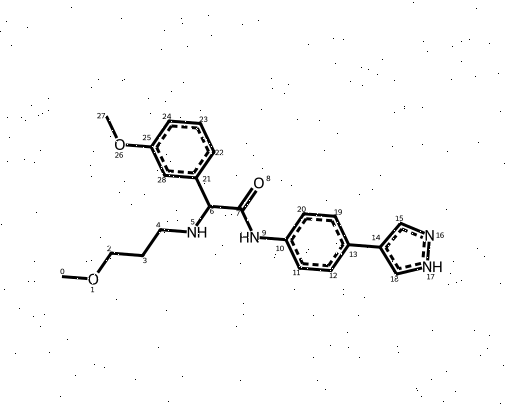 COCCCNC(C(=O)Nc1ccc(-c2cn[nH]c2)cc1)c1cccc(OC)c1